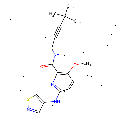 COc1ccc(Nc2cnsc2)nc1C(=O)NCC#CC(C)(C)C